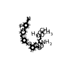 CC(C)(C)OC(=O)CCC(C(N)=O)N1Cc2c(OCc3ccc(SC4CCN(c5ccc(C#N)cc5F)CC4)cc3)cccc2C1=O